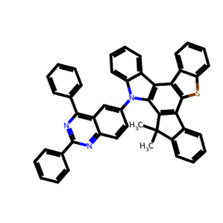 CC1(C)c2ccccc2-c2c1c1c(c3ccccc3n1-c1ccc3nc(-c4ccccc4)nc(-c4ccccc4)c3c1)c1c2sc2ccccc21